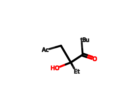 CCC(O)(CC(C)=O)C(=O)C(C)(C)C